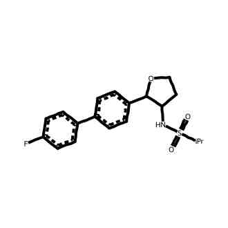 CC(C)S(=O)(=O)NC1CCOC1c1ccc(-c2ccc(F)cc2)cc1